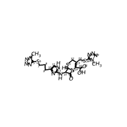 Cn1nnnc1SCCCc1c[nH]c(NC2C(=O)N3C(C(=O)O)=C(CSc4nnnn4C)CS[C@@H]23)n1